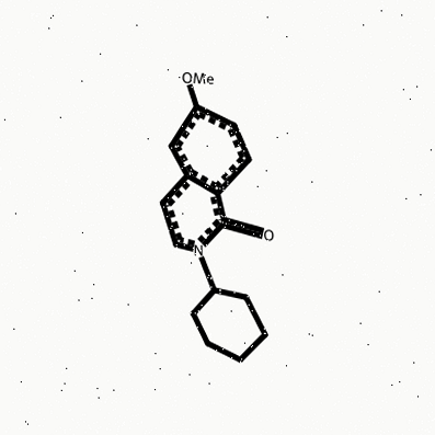 COc1ccc2c(=O)n(C3CCCCC3)ccc2c1